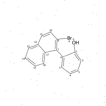 Oc1ccccc1-c1c(Br)ccc2ccccc12